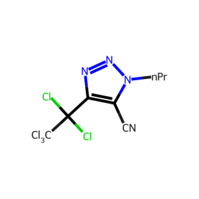 CCCn1nnc(C(Cl)(Cl)C(Cl)(Cl)Cl)c1C#N